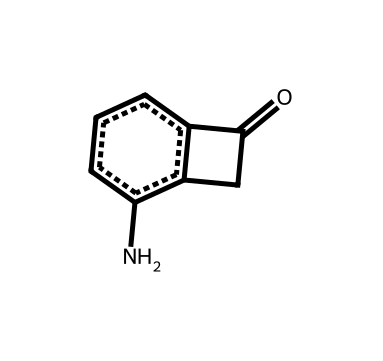 Nc1cccc2c1CC2=O